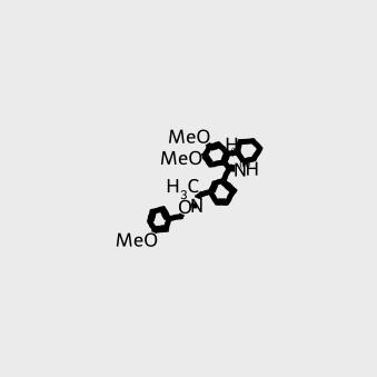 COc1cccc(CON=C(C)c2cccc(C3=N[C@@H]4CCCC[C@@H]4c4cc(OC)c(OC)cc43)c2)c1